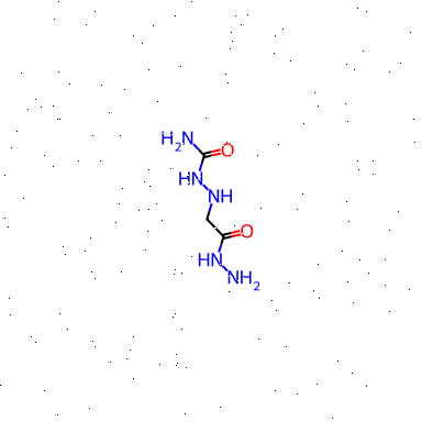 NNC(=O)CNNC(N)=O